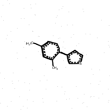 Cc1ccc(-c2ccsc2)c(C)c1